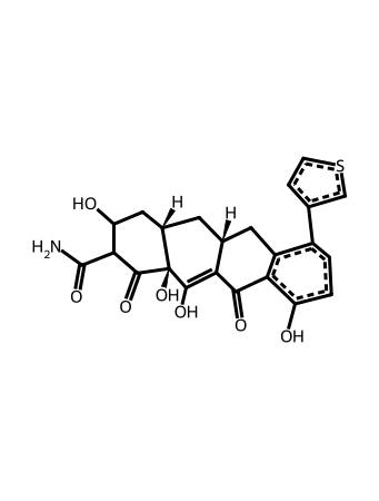 NC(=O)C1C(=O)[C@@]2(O)C(O)=C3C(=O)c4c(O)ccc(-c5ccsc5)c4C[C@H]3C[C@H]2CC1O